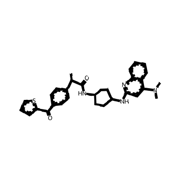 CC(C(=O)NC1CCC(Nc2cc(N(C)C)c3ccccc3n2)CC1)c1ccc(C(=O)c2cccs2)cc1